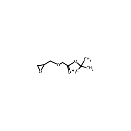 CC(C)(C)OC(=O)COCC1CO1